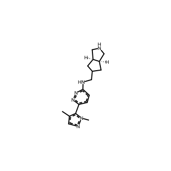 Cc1cnn(C)c1-c1ccc(NCC2C[C@H]3CNC[C@H]3C2)nn1